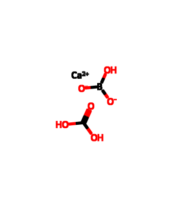 O=C(O)O.[Ca+2].[O-]B([O-])O